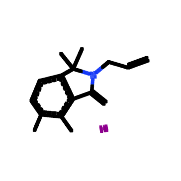 C=CCN1C(=C)c2c(ccc(C)c2C)C1(C)C.I